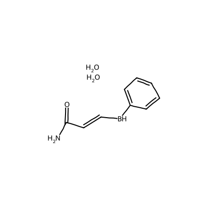 NC(=O)C=CBc1ccccc1.O.O